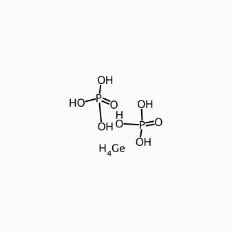 O=P(O)(O)O.O=P(O)(O)O.[GeH4]